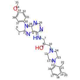 CCc1nc2c(NCC(O)CN3CCN(c4cccc(C)c4C)CC3)ncnc2n1-c1ccc(OC)cc1